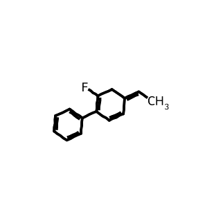 CC=C1C=CC(c2ccccc2)=C(F)C1